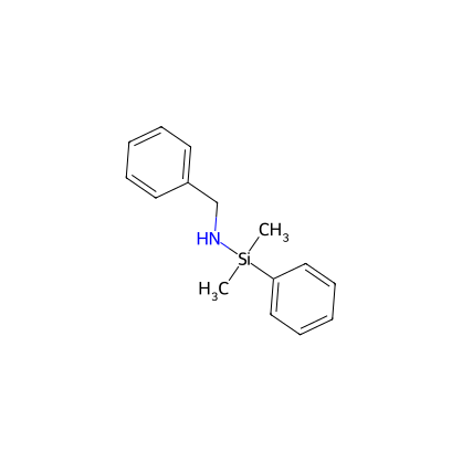 C[Si](C)(NCc1ccccc1)c1ccccc1